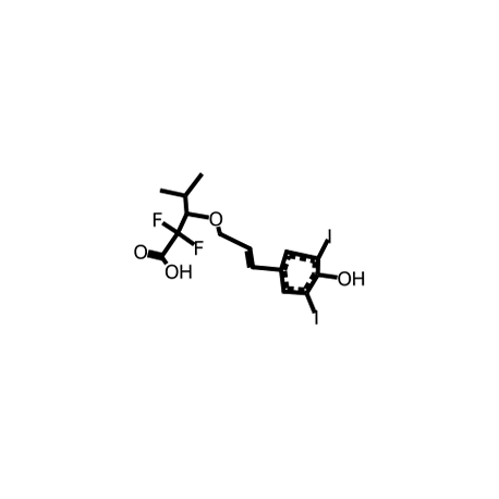 CC(C)C(OC/C=C/c1cc(I)c(O)c(I)c1)C(F)(F)C(=O)O